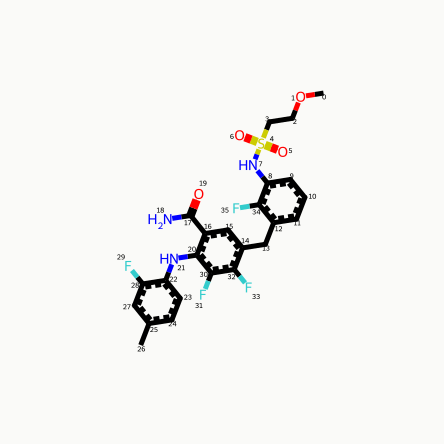 COCCS(=O)(=O)Nc1cccc(Cc2cc(C(N)=O)c(Nc3ccc(C)cc3F)c(F)c2F)c1F